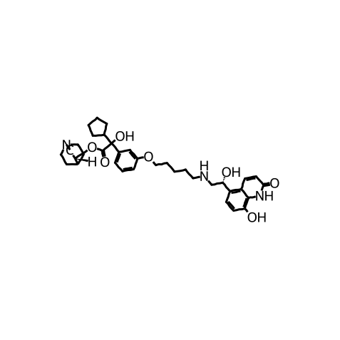 O=C(O[C@H]1CN2CCC1CC2)C(O)(c1cccc(OCCCCCNC[C@H](O)c2ccc(O)c3[nH]c(=O)ccc23)c1)C1CCCC1